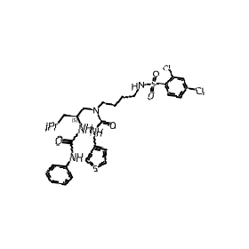 CC(C)C[C@@H](CN(CCCCNS(=O)(=O)c1ccc(Cl)cc1Cl)C(=O)Nc1ccsc1)NC(=O)Nc1ccccc1